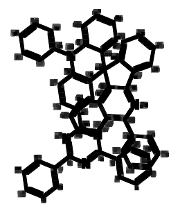 c1ccc(-c2nc(-c3ccccc3)nc(-c3ccc4c(c3)C3(c5ccccc5-c5nc(-c6ccccc6)c6ccccc6c53)c3ccccc3N4c3ccccc3)n2)cc1